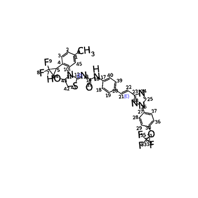 Cc1ccc(C2CC2(F)F)c(N2/C(=N/C(=O)Nc3ccc(/C=C/c4ncn(-c5ccc(OC(F)(F)F)cc5)n4)cc3)SCC2O)c1